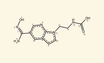 N/C(=N/O)c1cnc2c(ccn2CCNC(=O)O)c1